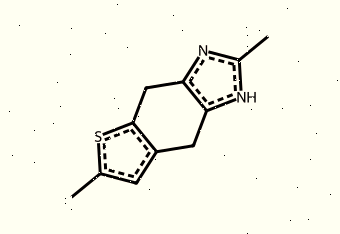 Cc1nc2c([nH]1)Cc1cc(C)sc1C2